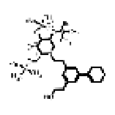 CC(C)(C)[Si](C)(C)OC[C@@H]1[C@@H](O)C(O[Si](C)(C)C(C)(C)C)C(O[Si](C)(C)C(C)(C)C)CN1CCc1cc(CCO)cc(C2=CCCCC2)c1